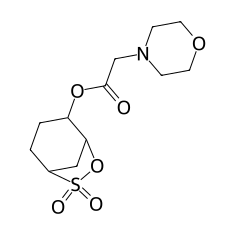 O=C(CN1CCOCC1)OC1CCC2CC1OS2(=O)=O